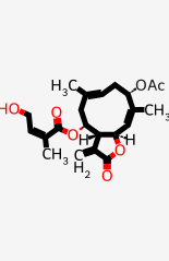 C=C1C(=O)O[C@@H]2/C=C(/C)[C@@H](OC(C)=O)C/C=C(\C)C[C@@H](OC(=O)/C(C)=C\CO)[C@@H]12